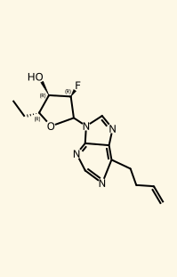 C=CCCc1ncnc2c1ncn2C1O[C@H](CC)[C@@H](O)[C@H]1F